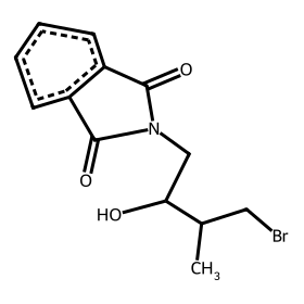 CC(CBr)C(O)CN1C(=O)c2ccccc2C1=O